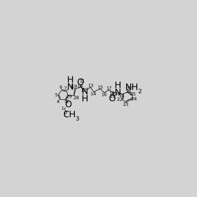 CCOc1cccc2[nH]c(C(=O)NCCCCCC(=O)Nc3ccccc3N)cc12